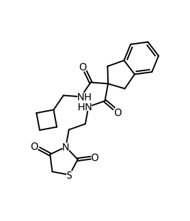 O=C1CSC(=O)N1CCNC(=O)C1(C(=O)NCC2CCC2)Cc2ccccc2C1